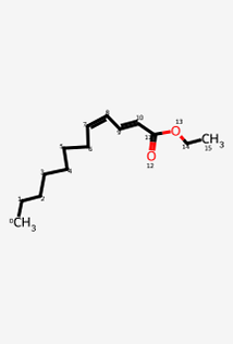 CCCCCCC/C=C\C=C\C(=O)OCC